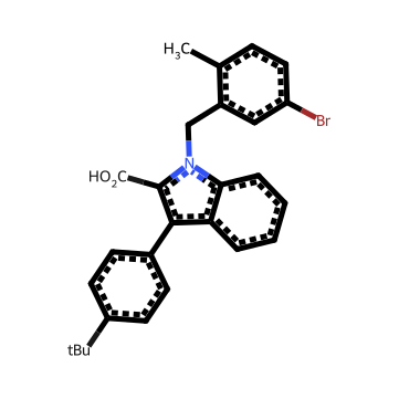 Cc1ccc(Br)cc1Cn1c(C(=O)O)c(-c2ccc(C(C)(C)C)cc2)c2ccccc21